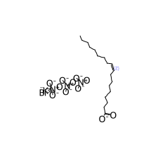 CCCCCCCC/C=C\CCCCCCCC(=O)[O-].O=[N+]([O-])[O-].O=[N+]([O-])[O-].O=[N+]([O-])[O-].[Bi+3].[K+]